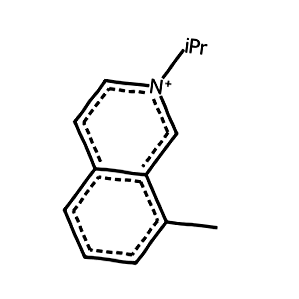 Cc1cccc2cc[n+](C(C)C)cc12